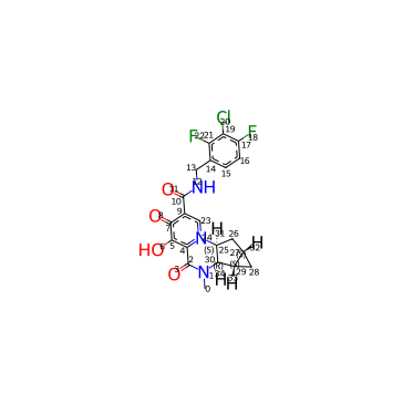 CN1C(=O)c2c(O)c(=O)c(C(=O)NCc3ccc(F)c(Cl)c3F)cn2[C@H]2C[C@@H]3C[C@@H]3[C@H]21